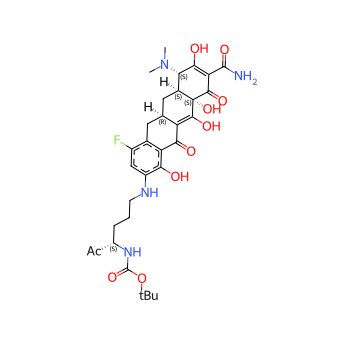 CC(=O)[C@H](CCCNc1cc(F)c2c(c1O)C(=O)C1=C(O)[C@]3(O)C(=O)C(C(N)=O)=C(O)[C@@H](N(C)C)[C@@H]3C[C@@H]1C2)NC(=O)OC(C)(C)C